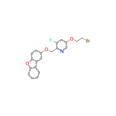 Fc1cc(OCCBr)cnc1COc1ccc2oc3ccccc3c2c1